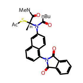 CCCCC(=O)N(c1ccc2c(N3C(=O)c4ccccc4C3=O)cccc2c1)[C@](C)(SC(C)=O)C(=O)NC